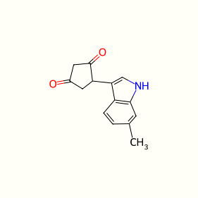 Cc1ccc2c(C3CC(=O)CC3=O)c[nH]c2c1